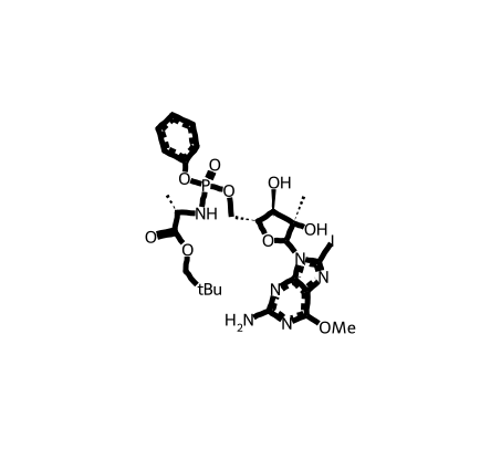 COc1nc(N)nc2c1nc(I)n2C1O[C@H](COP(=O)(N[C@@H](C)C(=O)OCC(C)(C)C)Oc2ccccc2)[C@@H](O)[C@@]1(C)O